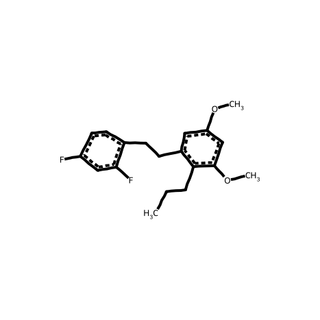 CCCc1c(CCc2ccc(F)cc2F)cc(OC)cc1OC